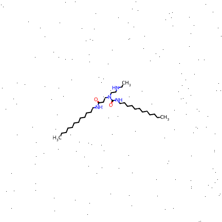 CCCCCCCCCCCCNC(=O)CCN(CCNCC)C(=O)NCCCCCCCCCCCC